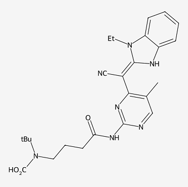 CCN1C(=C(C#N)c2nc(NC(=O)CCCN(C(=O)O)C(C)(C)C)ncc2C)Nc2ccccc21